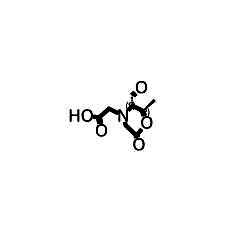 C[C@H]1OC(=O)CN(CC(=O)O)[C@@H]1C=O